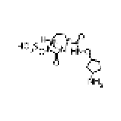 NC1CCC(ONC(=O)[C@@H]2CC[C@@H]3CN2C(=O)N3OS(=O)(=O)O)C1